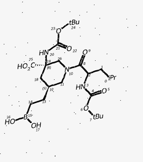 CC(C)CC(NC(=O)OC(C)(C)C)C(=O)N1C[C@@H](CCB(O)O)C[C@](NC(=O)OC(C)(C)C)(C(=O)O)C1